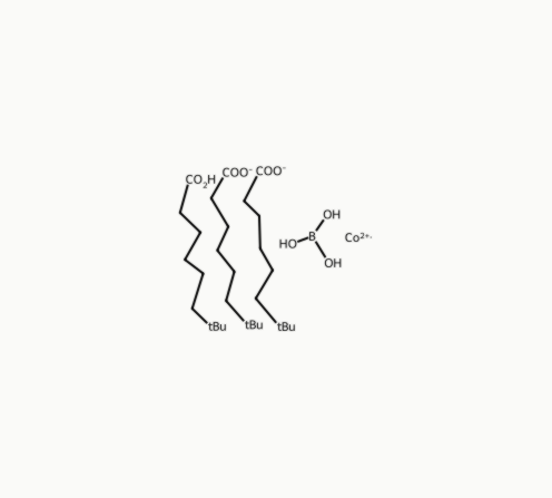 CC(C)(C)CCCCCC(=O)O.CC(C)(C)CCCCCC(=O)[O-].CC(C)(C)CCCCCC(=O)[O-].OB(O)O.[Co+2]